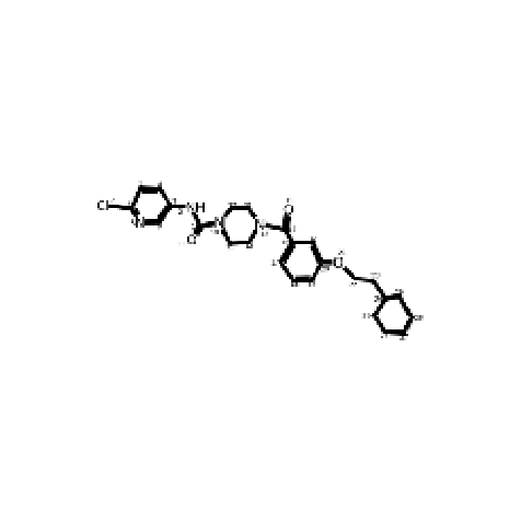 O=C(Nc1ccc(Cl)nc1)N1CCN(C(=O)c2cccc(OCCC3CCCCC3)c2)CC1